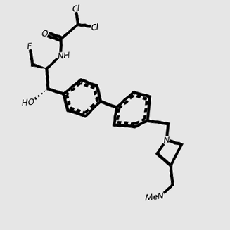 CNCC1CN(Cc2ccc(-c3ccc([C@H](O)[C@@H](CF)NC(=O)C(Cl)Cl)cc3)cc2)C1